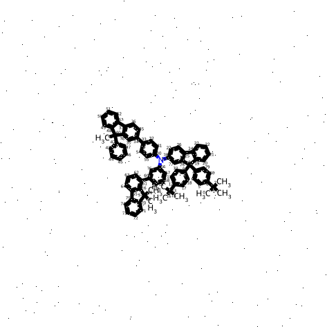 CC(C)(C)c1ccc(C2(c3ccc(C(C)(C)C)cc3)c3ccccc3-c3ccc(N(c4ccc(-c5ccc6c(c5)C(C)(c5ccccc5)c5ccccc5-6)cc4)c4cccc(-c5cccc6c5C(C)(C)c5ccccc5-6)c4)cc32)cc1